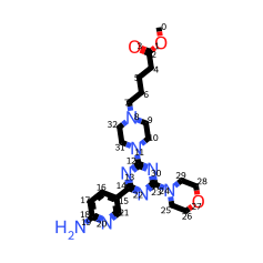 COC(=O)CCCCN1CCN(c2nc(-c3ccc(N)nc3)nc(N3CCOCC3)n2)CC1